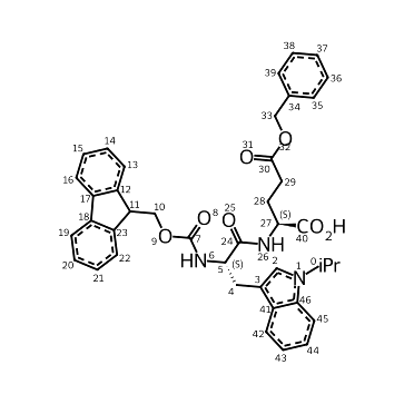 CC(C)n1cc(C[C@H](NC(=O)OCC2c3ccccc3-c3ccccc32)C(=O)N[C@@H](CCC(=O)OCc2ccccc2)C(=O)O)c2ccccc21